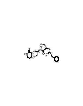 CC(C)C[C@H](NC(=O)OCc1ccccc1)C(=O)N[C@H](CO)C[C@@H]1CCCNC1=O